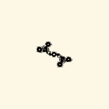 O=C(OC(COCC1CCC(COCC(COc2ccccc2)OC(=O)c2ccccc2)CC1)COc1ccccc1)c1ccccc1